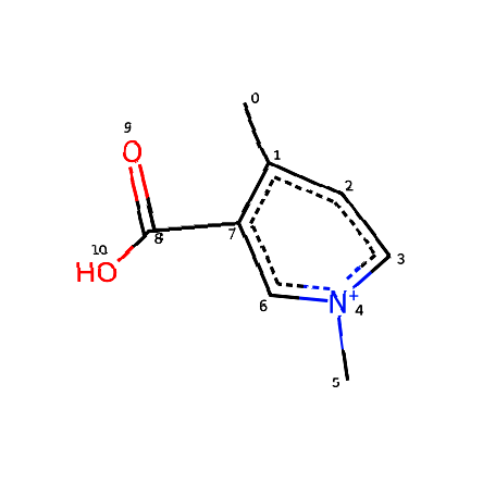 Cc1cc[n+](C)cc1C(=O)O